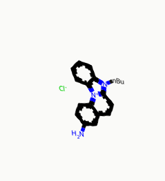 CCCCn1c2ccccc2[n+]2c3ccc(N)cc3ccc12.[Cl-]